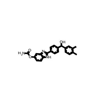 Cc1ccc(C(O)c2ccc(-c3nc4cc(OC(N)=O)ccc4[nH]3)cc2)cc1C